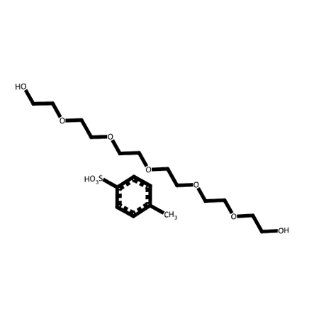 Cc1ccc(S(=O)(=O)O)cc1.OCCOCCOCCOCCOCCOCCO